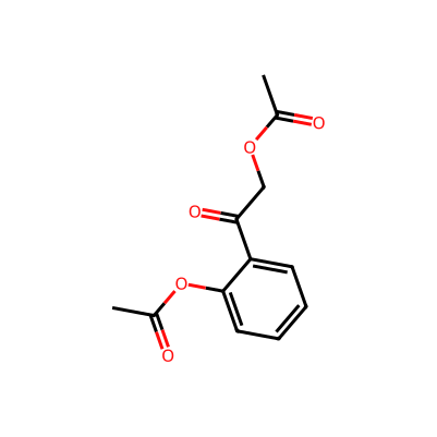 CC(=O)OCC(=O)c1ccccc1OC(C)=O